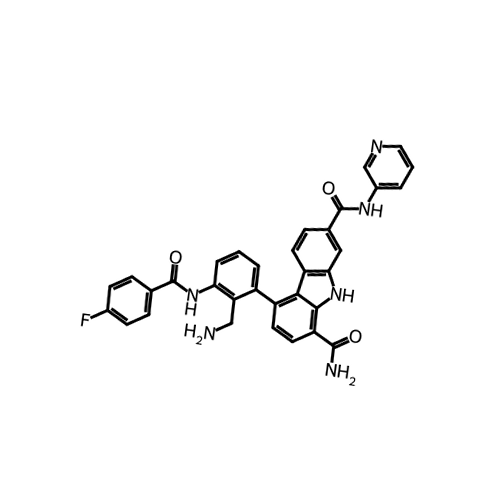 NCc1c(NC(=O)c2ccc(F)cc2)cccc1-c1ccc(C(N)=O)c2[nH]c3cc(C(=O)Nc4cccnc4)ccc3c12